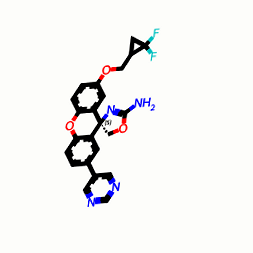 NC1=N[C@]2(CO1)c1cc(OCC3CC3(F)F)ccc1Oc1ccc(-c3cncnc3)cc12